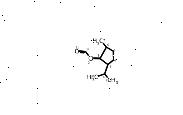 CC(C)C1CCC(C)C1OC=O